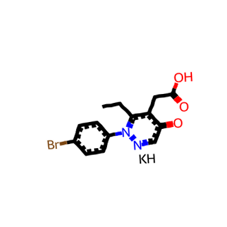 CCc1c(CC(=O)O)c(=O)cnn1-c1ccc(Br)cc1.[KH]